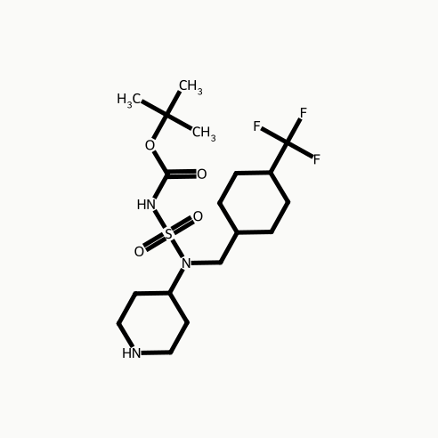 CC(C)(C)OC(=O)NS(=O)(=O)N(CC1CCC(C(F)(F)F)CC1)C1CCNCC1